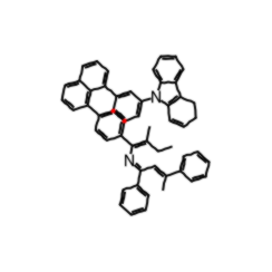 CC\C(C)=C(/N=C(\C=C(/C)c1ccccc1)c1ccccc1)c1ccc(-c2cccc3cccc(-c4cccc(-n5c6c(c7ccccc75)CCC=C6)c4)c23)cc1